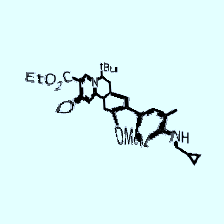 CCOC(=O)c1cn2c(cc1=O)C1CC(OC)=C(c3cnc(NCC4CC4)c(C)c3)C=C1CC2C(C)(C)C